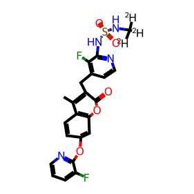 [2H]C([2H])([2H])NS(=O)(=O)Nc1nccc(Cc2c(C)c3ccc(Oc4ncccc4F)cc3oc2=O)c1F